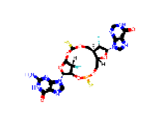 Nc1nc2c(ncn2[C@@H]2OC3OC(S)OC[C@H]4[C@H](F)[C@H](n5cnc6c(=O)[nH]cnc65)O[C@@H]4COP(S)O[C@@H]2[C@H]3F)c(=O)[nH]1